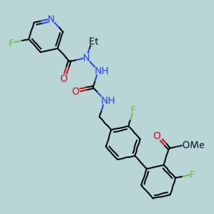 CCN(NC(=O)NCc1ccc(-c2cccc(F)c2C(=O)OC)cc1F)C(=O)c1cncc(F)c1